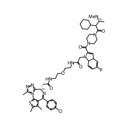 CN[C@@H](C)C(C(=O)N1CCN(C(=O)C2=CC3C=C(F)C=CC3N2CC(=O)NCCOCCNC(=O)C[C@@H]2N=C(c3ccc(Cl)cc3)c3c(sc(C)c3C)-n3c(C)nnc32)CC1)C1CCCCC1